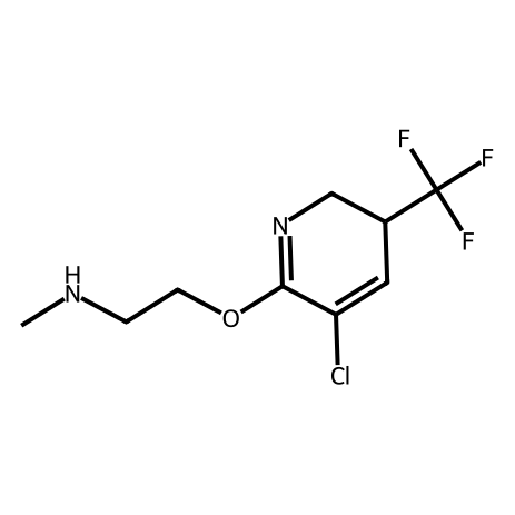 CNCCOC1=NCC(C(F)(F)F)C=C1Cl